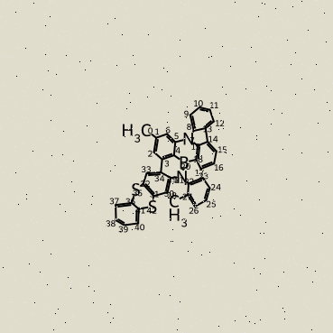 Cc1cc2c3c(c1)-n1c4ccccc4c4cccc(c41)B3N(c1ccccc1C)c1cc3c(cc1-2)Sc1ccccc1S3